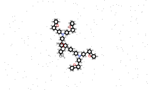 Cc1ccc(-c2ccc(-c3ccc(N(c4ccc(-c5cccc6c5oc5ccccc56)cc4)c4ccc(-c5cccc6c5oc5ccccc56)cc4)cc3)cc2)c(Cc2cc(C)ccc2-c2ccc(-c3ccc(N(c4ccc(-c5cccc6c5oc5ccccc56)cc4)c4ccc(-c5cccc6c5oc5ccccc56)cc4)cc3)cc2)c1